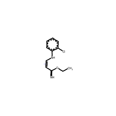 CCOC(=N)/C=C\Nc1ccccc1Cl